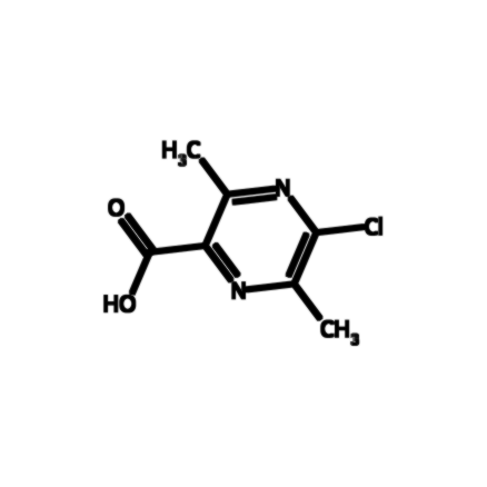 Cc1nc(C(=O)O)c(C)nc1Cl